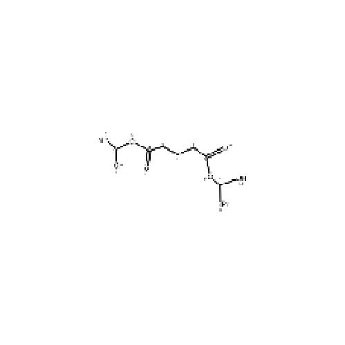 CCCC(O)OC(=O)CCCC(=O)OC(O)CCC